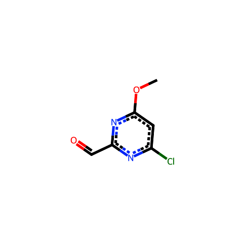 COc1cc(Cl)nc(C=O)n1